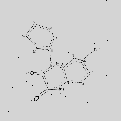 O=c1[nH]c2ccc(F)cc2n(-c2ccccc2)c1=O